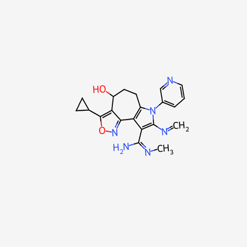 C=Nc1c(/C(N)=N\C)c2c(n1-c1cccnc1)CCC(O)c1c-2noc1C1CC1